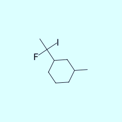 CC1CCCC(C(C)(F)I)C1